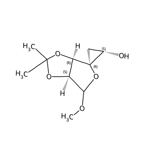 COC1O[C@@]2(C[C@@H]2O)[C@@H]2OC(C)(C)O[C@H]12